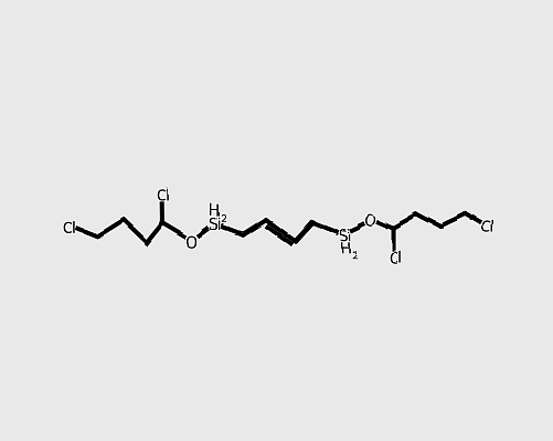 ClCCCC(Cl)O[SiH2]CC=CC[SiH2]OC(Cl)CCCCl